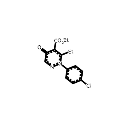 CCOC(=O)c1c(CC)n(-c2ccc(Cl)cc2)ncc1=O